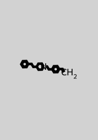 C=Cc1ccc(CCN2CCC(CCc3ccccc3)CC2)cc1